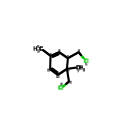 CC1=CC(CCl)C(C)(CCl)C=C1